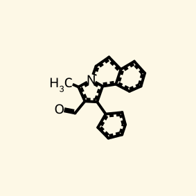 Cc1c(C=O)c(-c2ccccc2)c2c3ccccc3ccn12